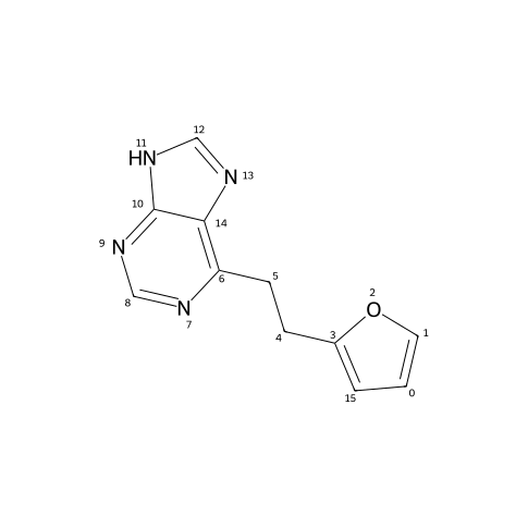 c1coc(CCc2ncnc3[nH]cnc23)c1